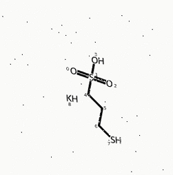 O=S(=O)(O)CCCS.[KH]